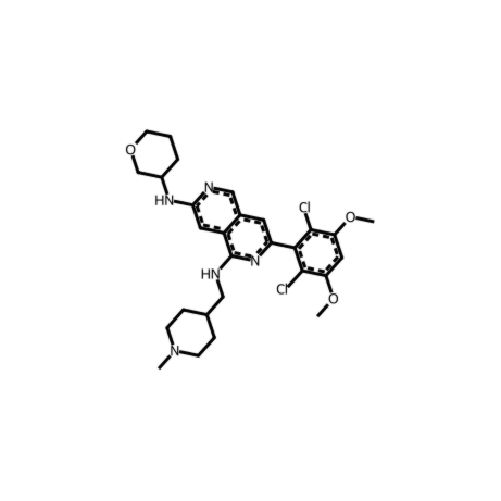 COc1cc(OC)c(Cl)c(-c2cc3cnc(NC4CCCOC4)cc3c(NCC3CCN(C)CC3)n2)c1Cl